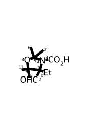 CCC1(C=O)N(C(=O)O)C(C)(C)OC1(C)C